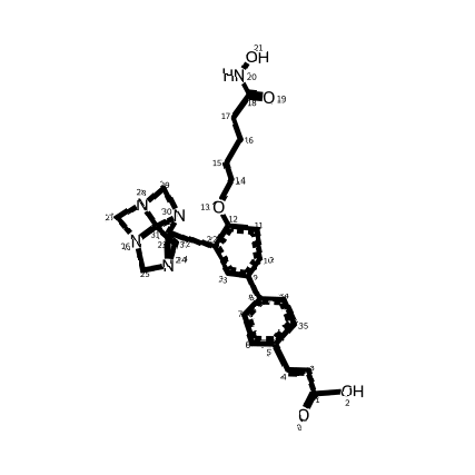 O=C(O)/C=C/c1ccc(-c2ccc(OCCCCC(=O)NO)c(C3N4CN5CN6CN3C56C4)c2)cc1